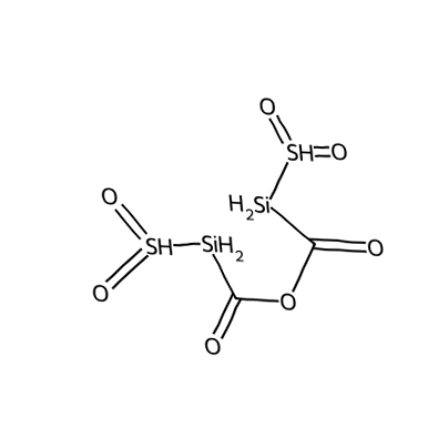 O=C(OC(=O)[SiH2][SH](=O)=O)[SiH2][SH](=O)=O